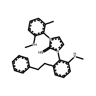 CPc1cccc(C)c1-n1ccn(-c2c(CCc3ccccc3)cccc2PC)c1=N